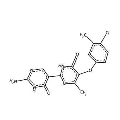 Nc1ncc(-c2nc(C(F)(F)F)c(Oc3ccc(Cl)c(C(F)(F)F)c3)c(=O)[nH]2)c(=O)[nH]1